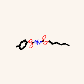 CCCCCCOC(=O)/N=N/C(=O)Oc1ccc(C)cc1